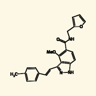 COc1c(C(=O)NCc2ccco2)ccc2[nH]nc(/C=C/c3ccc(C)cc3)c12